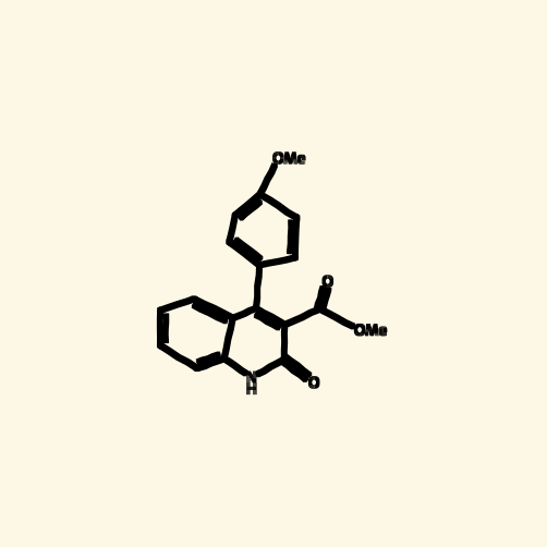 COC(=O)c1c(-c2ccc(OC)cc2)c2ccccc2[nH]c1=O